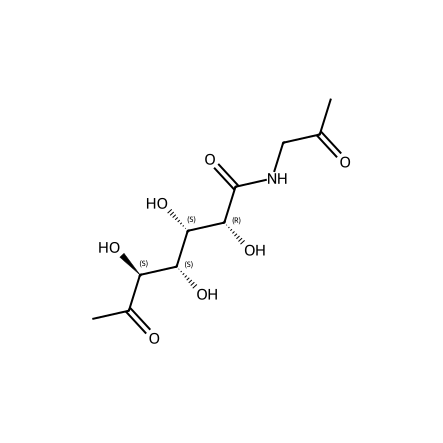 CC(=O)CNC(=O)[C@H](O)[C@@H](O)[C@H](O)[C@H](O)C(C)=O